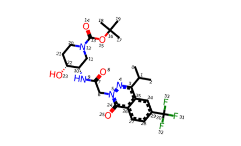 CC(C)c1nn(CC(=O)N[C@H]2CN(C(=O)OC(C)(C)C)CC[C@H]2O)c(=O)c2ccc(C(F)(F)F)cc12